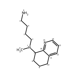 CN(CCCCN)C1CCCc2cccnc21